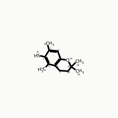 Cc1cc2c(c(C)c1S)CCC(C)(C)O2